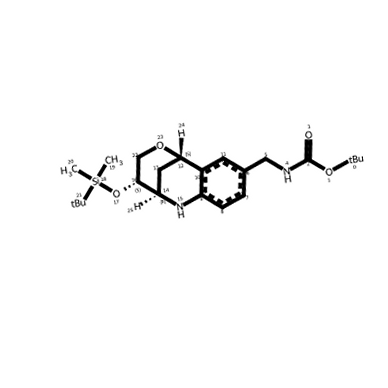 CC(C)(C)OC(=O)NCc1ccc2c(c1)[C@@H]1C[C@@H](N2)[C@H](O[Si](C)(C)C(C)(C)C)CO1